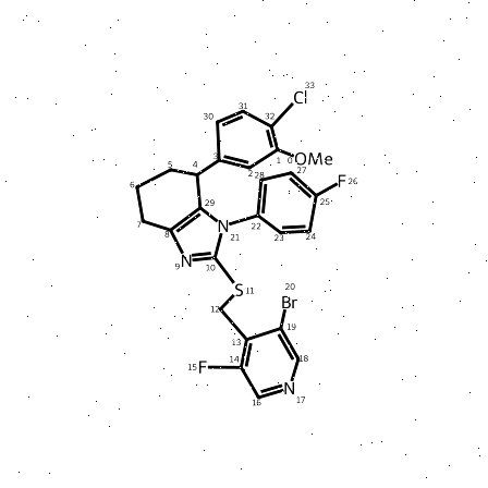 COc1cc(C2CCCc3nc(SCc4c(F)cncc4Br)n(-c4ccc(F)cc4)c32)ccc1Cl